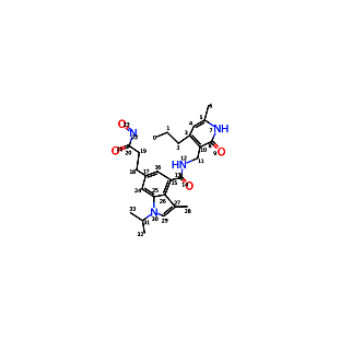 CCCc1cc(C)[nH]c(=O)c1CNC(=O)c1cc(CCC(=O)N=O)cc2c1c(C)cn2C(C)C